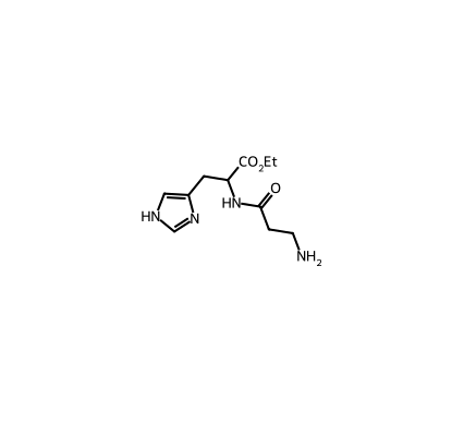 CCOC(=O)C(Cc1c[nH]cn1)NC(=O)CCN